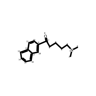 CN(C)CCCCC(=O)c1ccc2ccccc2c1